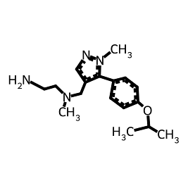 CC(C)Oc1ccc(-c2c(CN(C)CCN)cnn2C)cc1